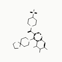 CC1c2c(ncc(C(=O)N3CCC(S(C)(=O)=O)CC3)c2N2CCC3(CC2)OCCO3)C=C(F)C1F